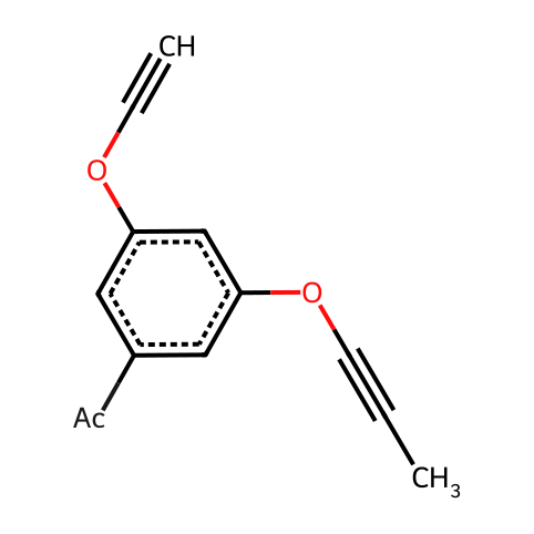 C#COc1cc(OC#CC)cc(C(C)=O)c1